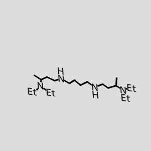 CCN(CC)C(C)CCNCCCCNCCC(C)N(CC)CC